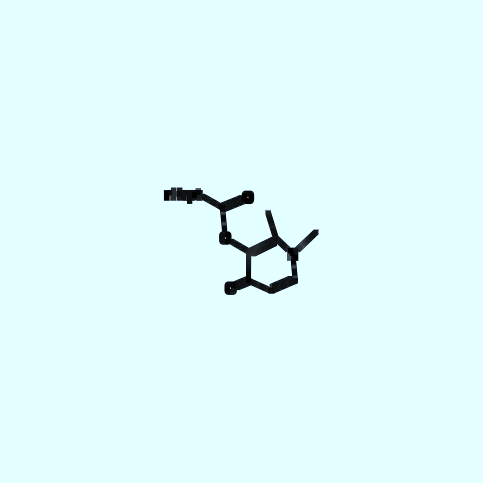 CCCCCCCC(=O)Oc1c(C)n(C)ccc1=O